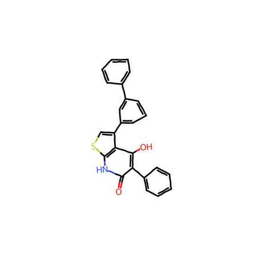 O=c1[nH]c2scc(-c3cccc(-c4ccccc4)c3)c2c(O)c1-c1ccccc1